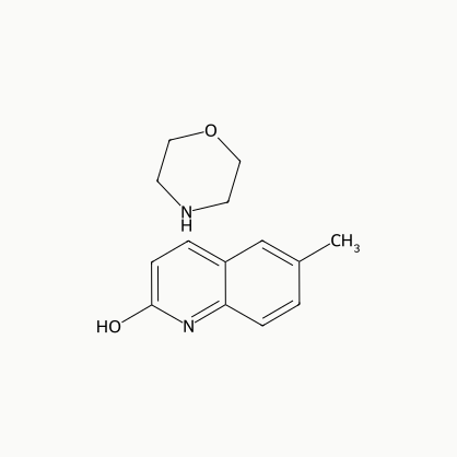 C1COCCN1.Cc1ccc2nc(O)ccc2c1